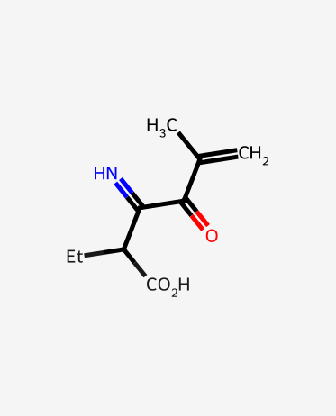 C=C(C)C(=O)C(=N)C(CC)C(=O)O